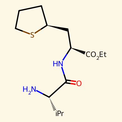 CCOC(=O)[C@H](C[C@@H]1CCCS1)NC(=O)[C@@H](N)C(C)C